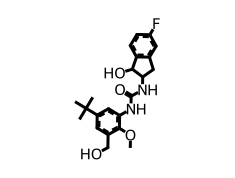 COc1c(CO)cc(C(C)(C)C)cc1NC(=O)NC1Cc2cc(F)ccc2C1O